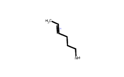 C/C=C/CCC[NH]